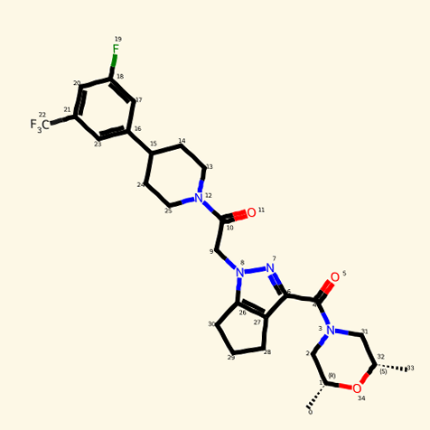 C[C@@H]1CN(C(=O)c2nn(CC(=O)N3CCC(c4cc(F)cc(C(F)(F)F)c4)CC3)c3c2CCC3)C[C@H](C)O1